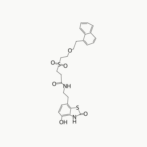 O=C(CCS(=O)(=O)CCOCCc1cccc2ccccc12)NCCc1ccc(O)c2[nH]c(=O)sc12